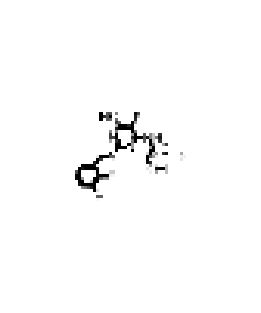 C[C@H](CO)Nc1nc(SCc2cccc(F)c2F)nc(O)c1F